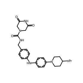 CCCC1CCN(c2ccc(Nc3ccc(CNC(=O)N4CC(=O)NC(=O)C4)cc3)cc2)CC1